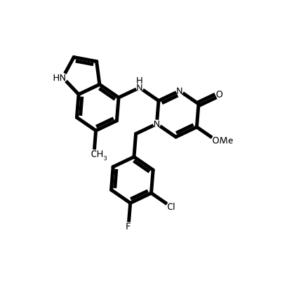 COc1cn(Cc2ccc(F)c(Cl)c2)c(Nc2cc(C)cc3[nH]ccc23)nc1=O